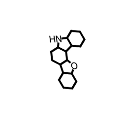 C1CCC2C(C1)NC1CCC3C4CCCCC4OC3C12